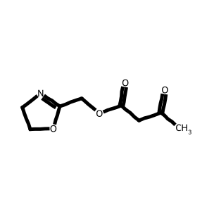 CC(=O)CC(=O)OCC1=NCCO1